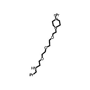 CCCN1CCN(CCOCCOCCOCCNCC(C)C)CC1